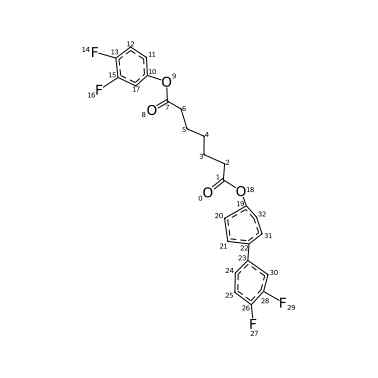 O=C(CCCCCC(=O)Oc1ccc(F)c(F)c1)Oc1ccc(-c2ccc(F)c(F)c2)cc1